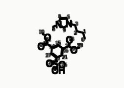 CCCCN1C=CN(C)C1.COC(=O)c1cc(C(=O)OC)cc(S(=O)(=O)O)c1